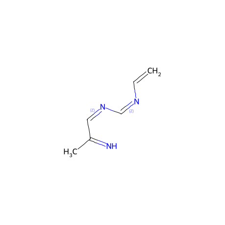 C=C/N=C\N=C/C(C)=N